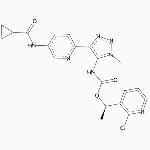 C[C@@H](OC(=O)Nc1c(-c2ccc(NC(=O)C3CC3)cn2)nnn1C)c1cccnc1Cl